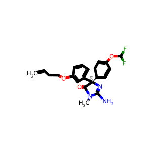 C=CCCOc1cccc([C@@]2(C3C=CC(OC(F)F)=CC3)N=C(N)N(C)C2=O)c1